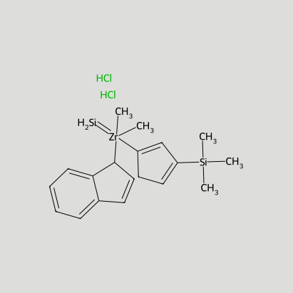 C[Si](C)(C)C1=CC[C]([Zr]([CH3])([CH3])(=[SiH2])[CH]2C=Cc3ccccc32)=C1.Cl.Cl